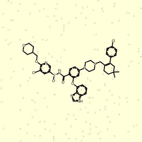 CC1(C)CCC(CN2CCN(c3ccc(C(=O)N[S+]([O-])c4cnc(OCC5CCOCC5)c(Cl)c4)c(Oc4cccc5[nH]cnc45)c3)CC2)=C(c2ccc(Cl)cc2)C1